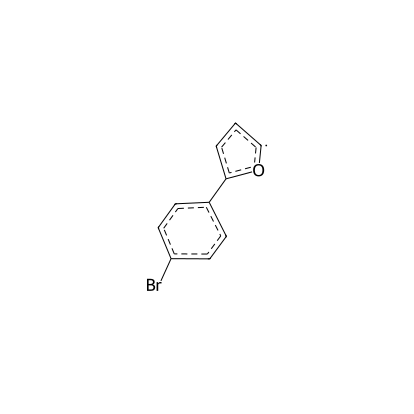 Brc1ccc(-c2cc[c]o2)cc1